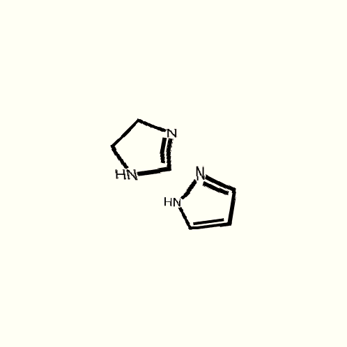 C1=NCCN1.c1cn[nH]c1